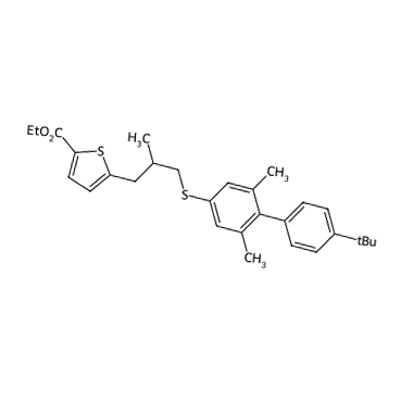 CCOC(=O)c1ccc(CC(C)CSc2cc(C)c(-c3ccc(C(C)(C)C)cc3)c(C)c2)s1